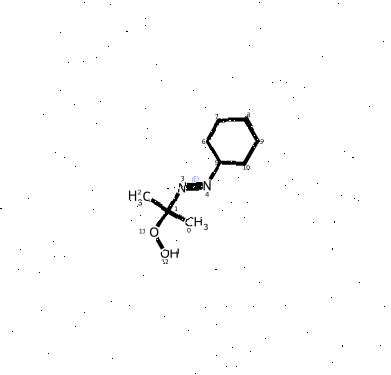 CC(C)(/N=N/C1CCCCC1)OO